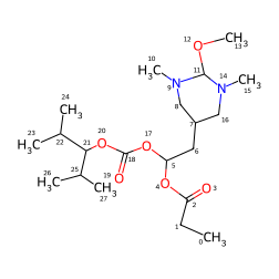 CCC(=O)OC(CC1CN(C)C(OC)N(C)C1)OC(=O)OC(C(C)C)C(C)C